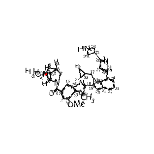 COc1cc(C(=O)N2C[C@H]3C[C@@H](C)[C@@H]2[C@@H]3N)cc2nc(-c3cc4cccc(-n5cc(C6CNC6)nn5)c4n3CC3CC3)n(C)c12